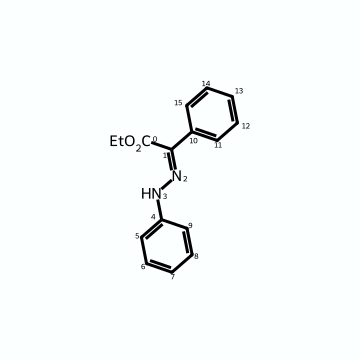 CCOC(=O)/C(=N\Nc1ccccc1)c1ccccc1